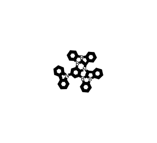 c1ccc2c(c1)B1C3=C(c4ccccc41)N1C4=C5B(c6ccccc6B5c5cc(-n6c7ccccc7c7ccccc76)cc(c51)B32)c1ccccc14